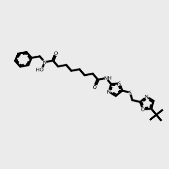 CC(C)(C)c1cnc(CSc2cnc(NC(=O)CCCCCCC(=O)N(O)Cc3ccccc3)s2)o1